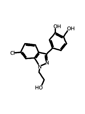 OCCn1nc(-c2ccc(O)c(O)c2)c2ccc(Cl)cc21